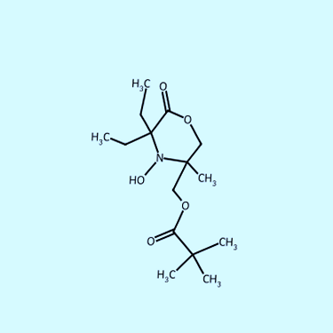 CCC1(CC)C(=O)OCC(C)(COC(=O)C(C)(C)C)N1O